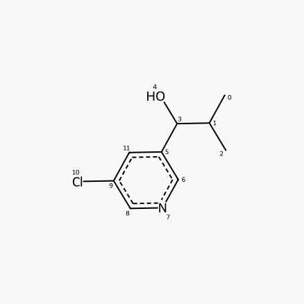 CC(C)C(O)c1cncc(Cl)c1